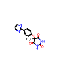 CC1(Oc2ccc(-c3ncccn3)cc2)C(=O)NC(=O)NC1=O